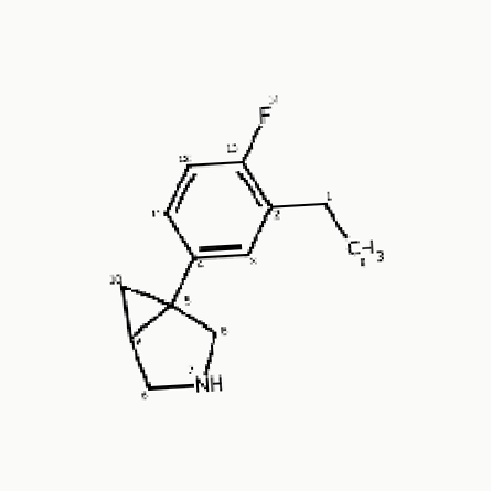 CCc1cc(C23CNCC2C3)ccc1F